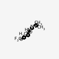 Cc1c(OC(=O)Nc2ccc(N3C[C@@H](C)O[C@@H](C)C3)nc2)cccc1-c1ccc(OC(F)(F)F)cc1